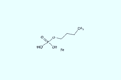 CCCCOP(=O)(O)O.[Fe]